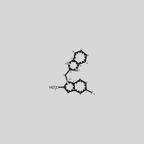 O=C(O)c1cc2cc(F)ccc2n1Cc1nc2ccccc2s1